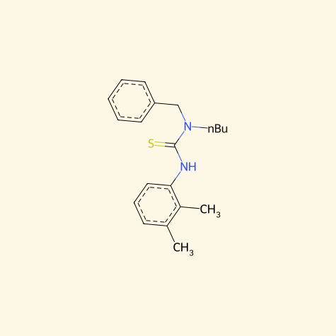 CCCCN(Cc1ccccc1)C(=S)Nc1cccc(C)c1C